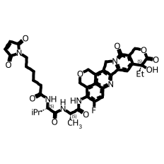 CC[C@@]1(O)C(=O)OCc2c1cc1n(c2=O)Cc2c-1nc1cc(F)c(NC(=O)[C@H](C)NC(=O)[C@@H](NC(=O)CCCCCN3C(=O)C=CC3=O)C(C)C)c3c1c2COC3